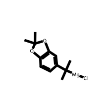 CC1(C)Oc2ccc([C](C)(C)[Mg][Cl])cc2O1